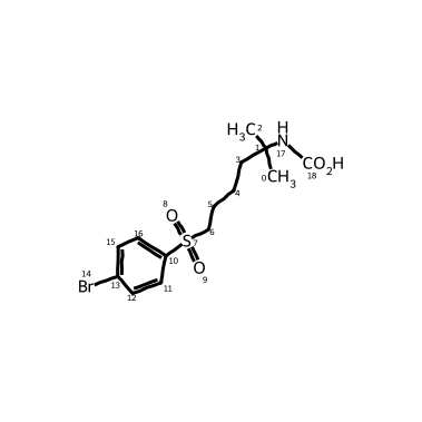 CC(C)(CCCCS(=O)(=O)c1ccc(Br)cc1)NC(=O)O